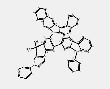 CC1(C)c2cc(-c3ccccc3)ccc2-c2nc(-c3ccc4c5ccccc5n(-c5ccccc5)c4c3)c(-n3c4cc5ccccc5cc4c4c5ccccc5ccc43)nc21